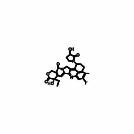 CC[C@@]1(O)C(=O)OCc2c1cc1n(c2=O)Cc2c-1nc1cc(F)c(C)c3c1c2[C@@H](N1CCC(O)C1=O)CC3